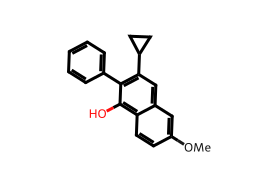 COc1ccc2c(O)c(-c3ccccc3)c(C3CC3)cc2c1